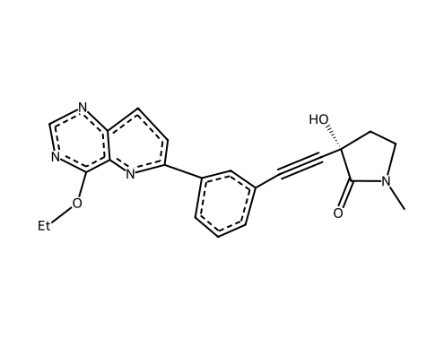 CCOc1ncnc2ccc(-c3cccc(C#C[C@@]4(O)CCN(C)C4=O)c3)nc12